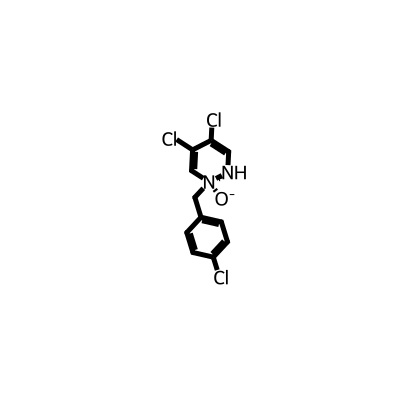 [O-][N+]1(Cc2ccc(Cl)cc2)C=C(Cl)C(Cl)=CN1